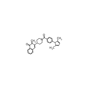 C=C1C(=O)c2ccccc2C=C1C1CCN(C(=O)c2ccc(C3C(C)=CC=C3C)cc2)CC1